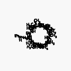 C/C=C/C[C@@H](C)[C@@H](O)[C@H]1C(=O)N[C@@H](CC)C(=O)N(C)[C@H](CSCCCCNC(C)C)C(=O)N(C)[C@@H](CC(C)(C)O)C(=O)N[C@@H](C(C)C)C(=O)N(C)[C@@H](CC(C)C)C(=O)N[C@@H](C)C(=O)N[C@H](C)C(=O)N(C)[C@@H](CC(C)C)C(=O)N(C)[C@@H](CC(C)C)C(=O)N(C)[C@@H](C(C)C)C(=O)N1C